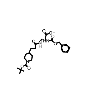 CC(C)(C)OC(=O)N1CCC(CCC(=O)NC[C@H](NC(=O)OCc2ccccc2)C(=O)O)CC1